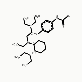 CC(C)C(=S)Nc1ccc(C[C@H](CN(CC(=O)O)[C@H]2CCCC[C@@H]2N(CC(=O)O)CC(=O)O)N(CC(=O)O)CC(=O)O)cc1